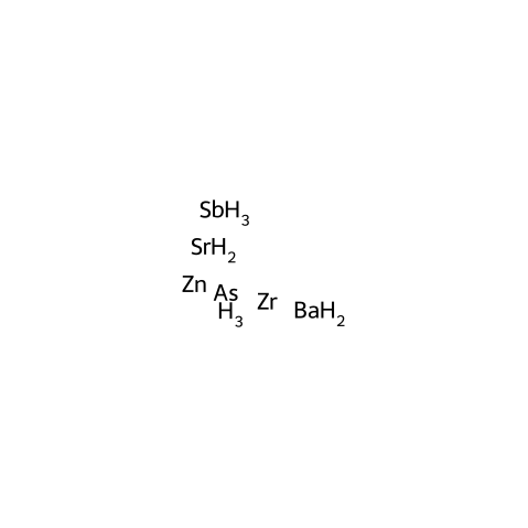 [AsH3].[BaH2].[SbH3].[SrH2].[Zn].[Zr]